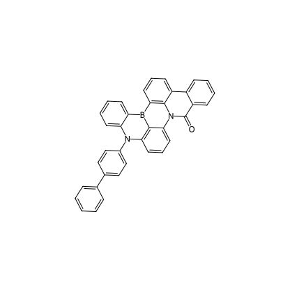 O=c1c2ccccc2c2cccc3c2n1-c1cccc2c1B3c1ccccc1N2c1ccc(-c2ccccc2)cc1